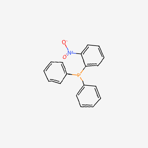 O=[N+]([O-])c1ccccc1P(c1ccccc1)c1ccccc1